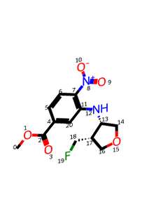 COC(=O)c1ccc([N+](=O)[O-])c(N[C@@H]2COC[C@@H]2CF)c1